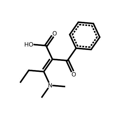 CCC(=C(C(=O)O)C(=O)c1ccccc1)N(C)C